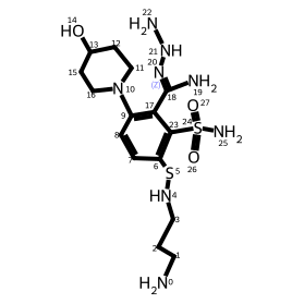 NCCCNSc1ccc(N2CCC(O)CC2)c(/C(N)=N/NN)c1S(N)(=O)=O